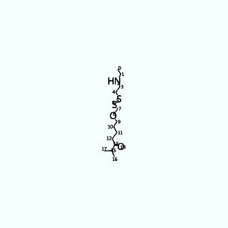 CCNCCSSCOCCCCC(=O)C(C)C